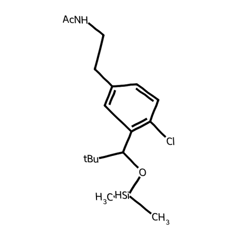 CC(=O)NCCc1ccc(Cl)c(C(O[SiH](C)C)C(C)(C)C)c1